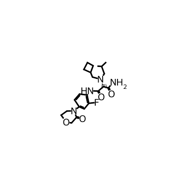 CC(C)CN(CC1CCC1)[C@H](C(N)=O)C(=O)Nc1ccc(N2CCOCC2=O)cc1F